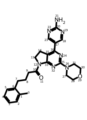 Cc1ccccc1CCCC(=O)N1CCc2c(-c3cnc(N)nc3)nc(N3CCOCC3)nc21